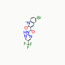 Cn1c(=O)c(C(=O)Nc2ncc(C(F)(F)F)cn2)cc2cc(Br)ccc21